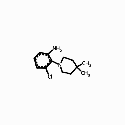 CC1(C)CCN(c2c(N)cccc2Cl)CC1